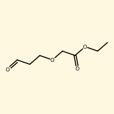 CCOC(=O)COCCC=O